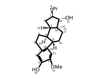 CCC[C@@H]1C[C@H]2[C@@H]3CCc4cc(O)c(OC)cc4[C@H]3CC[C@]2(C)[C@H]1O